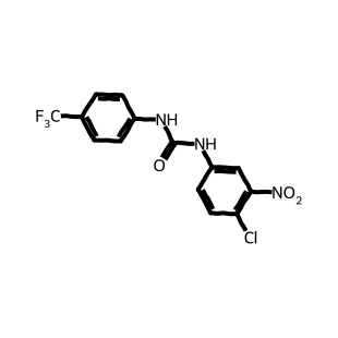 O=C(Nc1ccc(C(F)(F)F)cc1)Nc1ccc(Cl)c([N+](=O)[O-])c1